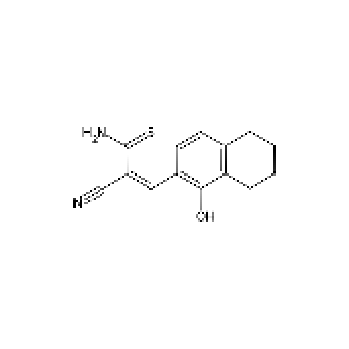 N#CC(=Cc1ccc2c(c1O)CCCC2)C(N)=S